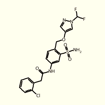 NS(=O)(=O)c1cc(NC(=O)Cc2ccccc2Cl)ccc1COc1cnn(C(F)F)c1